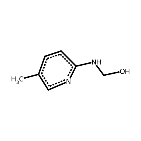 Cc1ccc(NCO)nc1